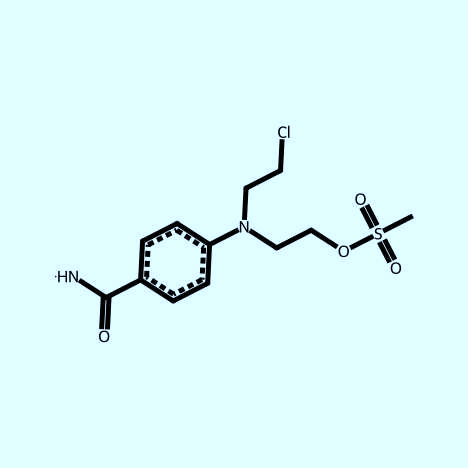 CS(=O)(=O)OCCN(CCCl)c1ccc(C([NH])=O)cc1